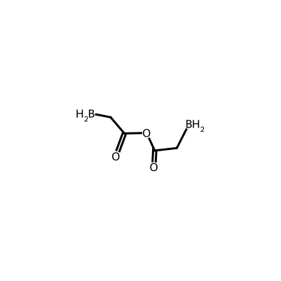 BCC(=O)OC(=O)CB